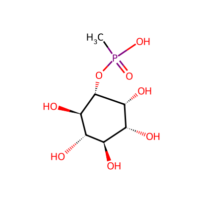 CP(=O)(O)O[C@@H]1[C@H](O)[C@H](O)[C@@H](O)[C@H](O)[C@H]1O